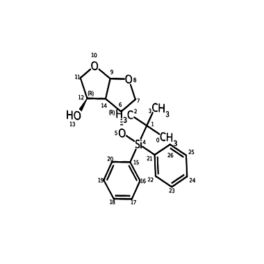 CC(C)(C)[Si](O[C@H]1COC2OC[C@H](O)C21)(c1ccccc1)c1ccccc1